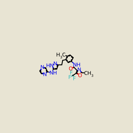 Cc1nc(C(=O)Nc2ccc(C)c(CCc3cc(Nc4cnccn4)[nH]n3)c2)c(C(F)(F)F)o1